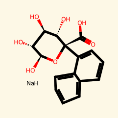 O=C(O)[C@@]1(c2cccc3ccccc23)O[C@@H](O)[C@H](O)[C@@H](O)[C@@H]1O.[NaH]